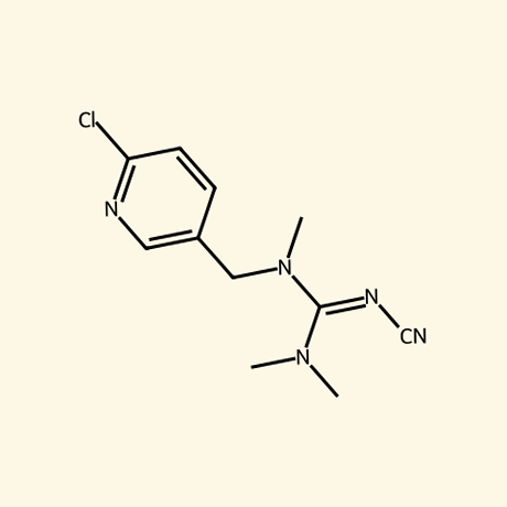 CN(C)C(=NC#N)N(C)Cc1ccc(Cl)nc1